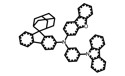 c1cc(N(c2ccc3c(c2)C2(c4ccccc4-3)C3CC4CC(C3)CC2C4)c2ccc3c(c2)oc2ccccc23)cc(-n2c3ccccc3c3ccccc32)c1